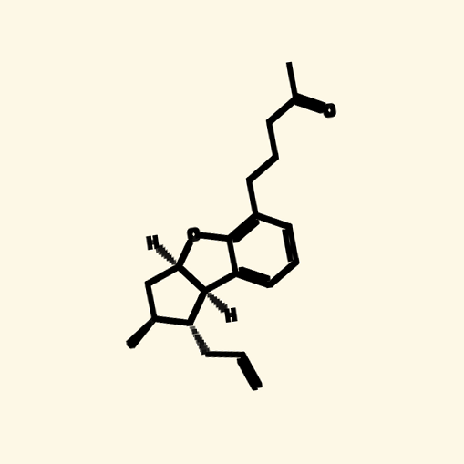 C=CC[C@H]1[C@@H]2c3cccc(CCCC(C)=O)c3O[C@@H]2C[C@@H]1C